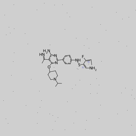 C/C=C(F)\C(=C/N)SNc1ccc(-c2nc(N)c(C(C)=N)c(OC3CCN(C(C)C)CC3)n2)cc1